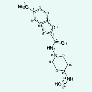 COc1ccc2oc(C(=O)NN3CCC(NC(=O)O)CC3)cc2c1